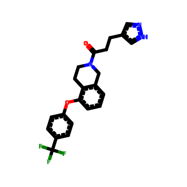 O=C(CCc1cn[nH]c1)N1CCc2c(cccc2Oc2ccc(C(F)(F)F)cc2)C1